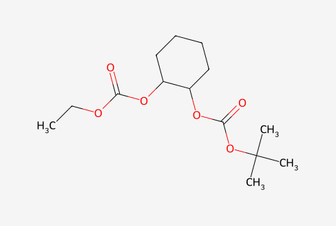 CCOC(=O)OC1CCCCC1OC(=O)OC(C)(C)C